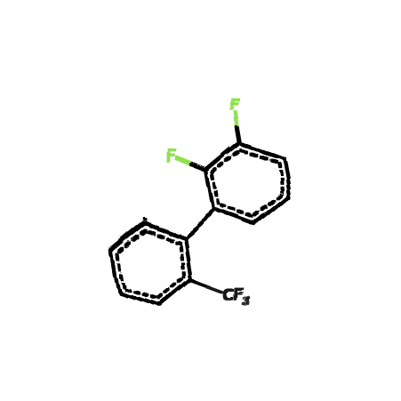 Fc1cccc(-c2[c]cccc2C(F)(F)F)c1F